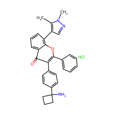 Cc1c(-c2cccc3c(=O)c(-c4ccc(C5(N)CCC5)cc4)c(-c4ccccc4)oc23)cnn1C.Cl